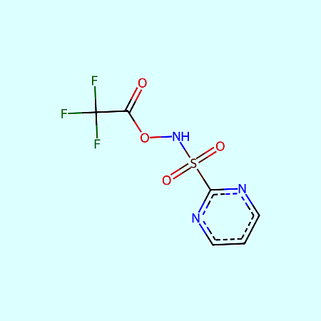 O=C(ONS(=O)(=O)c1ncccn1)C(F)(F)F